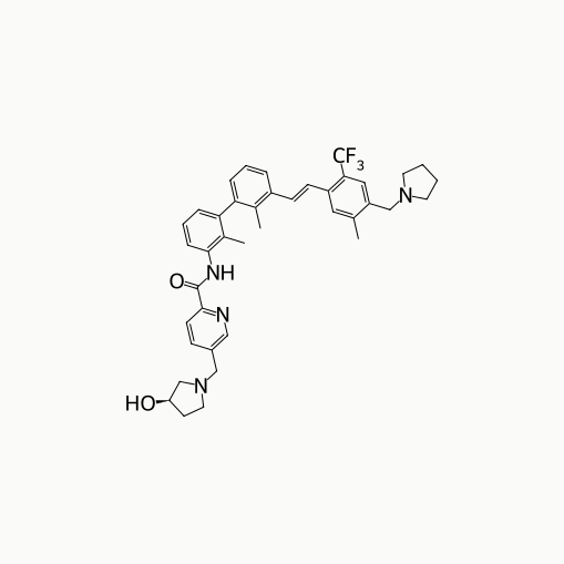 Cc1cc(/C=C/c2cccc(-c3cccc(NC(=O)c4ccc(CN5CC[C@@H](O)C5)cn4)c3C)c2C)c(C(F)(F)F)cc1CN1CCCC1